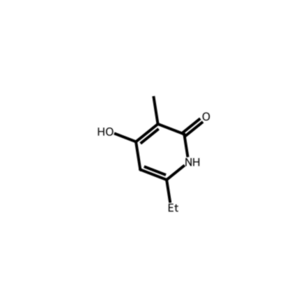 CCc1cc(O)c(C)c(=O)[nH]1